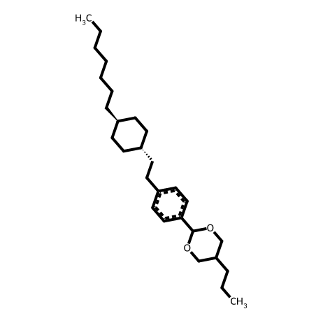 CCCCCCC[C@H]1CC[C@H](CCc2ccc(C3OCC(CCC)CO3)cc2)CC1